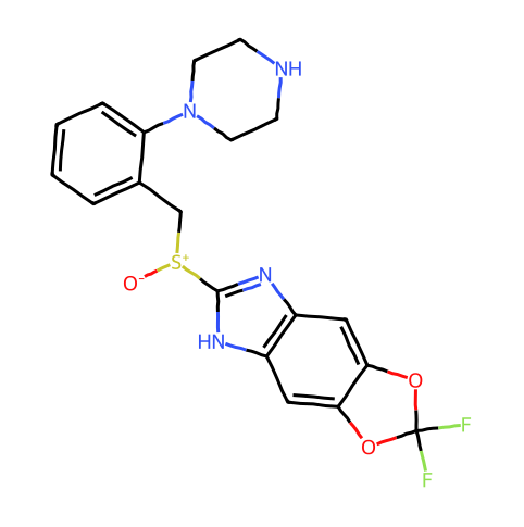 [O-][S+](Cc1ccccc1N1CCNCC1)c1nc2cc3c(cc2[nH]1)OC(F)(F)O3